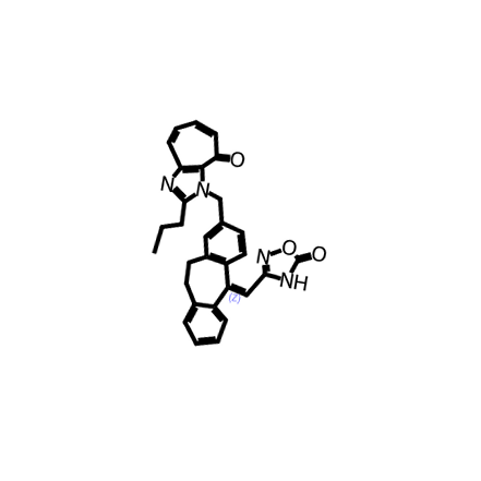 CCCc1nc2ccccc(=O)c2n1Cc1ccc2c(c1)CCc1ccccc1/C2=C/c1noc(=O)[nH]1